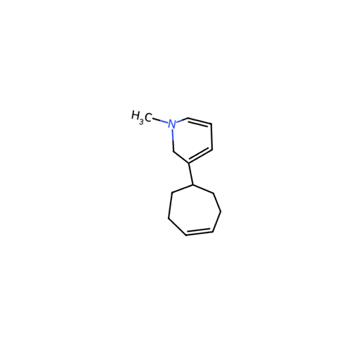 CN1C=CC=C(C2CCC=CCC2)C1